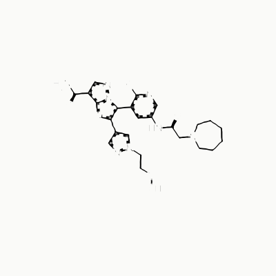 COCCn1cc(-c2sc3c(C(N)=O)cnn3c2-c2cc(NC(=O)CN3CCCCCC3)cnc2C)cn1